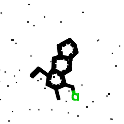 C=Cc1cc(C)c(CCl)c2cc3ccccc3cc12